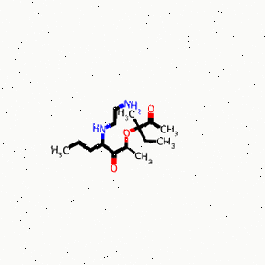 CCCC(NCCN)C(=O)[C@H](C)OC(C)(CC)C(C)=O